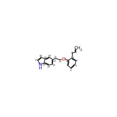 C=CCc1ccccc1OCCc1ccc2[nH]ccc2c1